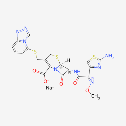 CO/N=C(\C(=O)N[C@@H]1C(=O)N2C(C(=O)[O-])=C(CSc3cccc4nncn34)CS[C@@H]12)c1csc(N)n1.[Na+]